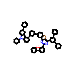 c1ccc(-c2cc(-c3ccccc3)cc(-c3nc(-c4cccc5c4oc4ccccc45)nc4c3sc3ccc(-c5cccc(-c6cccc7c6c6cc(-c8ccccc8)ccc6n7-c6ccccc6)c5)cc34)c2)cc1